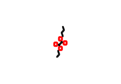 CCCCOC(=O)C(=O)OCCC